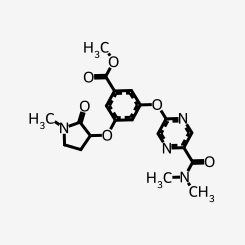 COC(=O)c1cc(Oc2cnc(C(=O)N(C)C)cn2)cc(OC2CCN(C)C2=O)c1